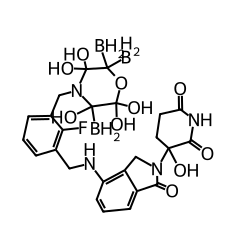 BC1(B)OC(O)(O)C(B)(O)N(Cc2cccc(CNc3cccc4c3CN(C3(O)CCC(=O)NC3=O)C4=O)c2F)C1(O)O